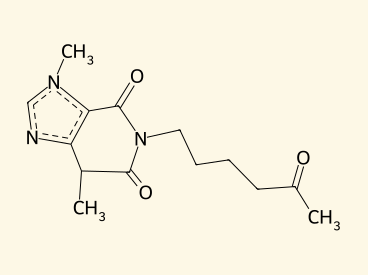 CC(=O)CCCCN1C(=O)c2c(ncn2C)C(C)C1=O